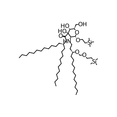 CCCCCCCCCCCC[C@H](CCCCCCCCCCC)CC(=O)[C@]1(O)[C@H](O)[C@@H](CO)O[C@H](OCC[Si](C)(C)C)[C@H]1NCC[C@H](CCCCCCCCCCC)OCOCC[Si](C)(C)C